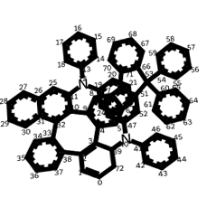 C1=CC2=C(c3ccccc3-c3c(N(c4ccccc4)c4ccccc4)cc4ccccc4c3-c3ccccc32)C(N(c2ccccc2)c2ccc3c(c2)C(c2ccccc2)(c2ccccc2)c2ccccc2-3)C1